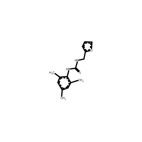 Cc1cc(C)c(NC(=S)NCc2ccco2)c(C)c1